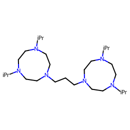 CC(C)N1CCN(CCCN2CCN(C(C)C)CCN(C(C)C)CC2)CCN(C(C)C)CC1